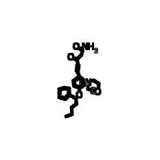 C1COCCN1.CCCCC(Oc1ccc(C#CC(=O)CC(N)=O)cc1)c1ccccc1